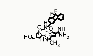 CC(NC(=O)[C@@H]1C[C@H](CO)CN1C(=O)CNC(=O)c1ccc2c(c1)-c1ccccc1C2(F)F)c1cc(C(=N)N)cs1